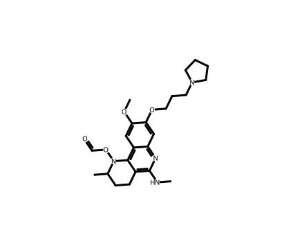 CNc1nc2cc(OCCCN3CCCC3)c(OC)cc2c2c1CCC(C)N2OC=O